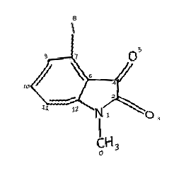 CN1C(=O)C(=O)c2c(I)cccc21